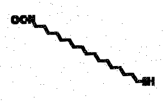 O=C=NCCCCCCCCCCCCCCCCCS